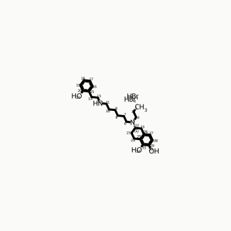 Br.Br.CCCN(CCCCCCNCCc1ccccc1O)[C@H]1CCc2c(ccc(O)c2O)C1